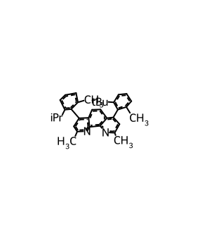 Cc1cc(-c2c(C)cccc2C(C)C)c2ccc3c(-c4c(C)cccc4C(C)(C)C)cc(C)nc3c2n1